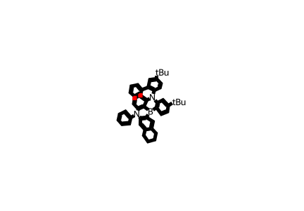 CC(C)(C)c1ccc(N2c3cc(C(C)(C)C)ccc3B3c4cc5c(cc4N(c4ccccc4)c4cccc2c43)CCCC5)c(-c2ccccc2)c1